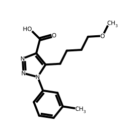 COCCCCc1c(C(=O)O)nnn1-c1cccc(C)c1